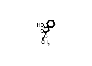 CCOC(=O)CC1(CO)CCCCC1